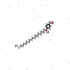 CCCCCCCCCCCCCCCCCC(=O)c1ccc(CBr)cc1